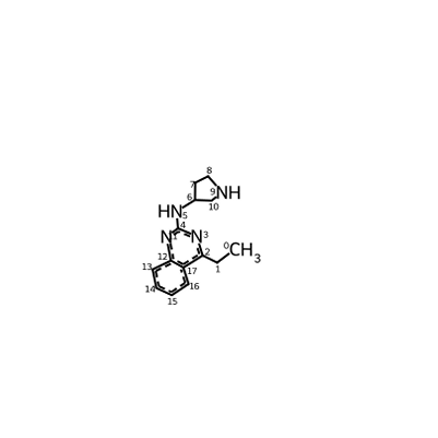 CCc1nc(NC2CCNC2)nc2ccccc12